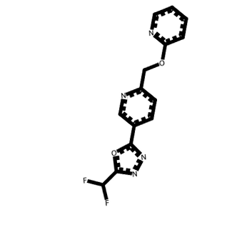 FC(F)c1nnc(-c2ccc(COc3ccccn3)nc2)o1